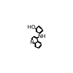 Oc1cccc(Nc2ccnc3ccccc23)c1